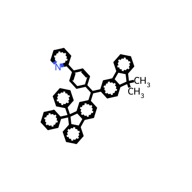 CC1(C)c2ccccc2-c2cc(C(c3ccc4c(c3)C(c3ccccc3)(c3ccccc3)c3ccccc3-4)C3C=CC(c4ccccn4)=CC3)ccc21